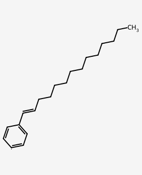 CCCCCCCCCCCCC=Cc1cc[c]cc1